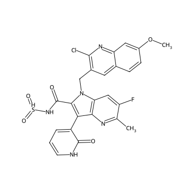 COc1ccc2cc(Cn3c(C(=O)N[SH](=O)=O)c(-c4ccc[nH]c4=O)c4nc(C)c(F)cc43)c(Cl)nc2c1